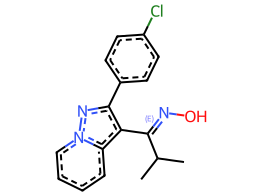 CC(C)/C(=N\O)c1c(-c2ccc(Cl)cc2)nn2ccccc12